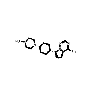 CN1CCN([C@H]2CC[C@@H](c3ccc4c(N)ncnn43)CC2)CC1